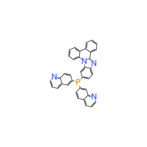 c1cnc2ccc(P(c3ccc4cccnc4c3)c3ccc4nc5c6ccccc6c6ccccc6n5c4c3)cc2c1